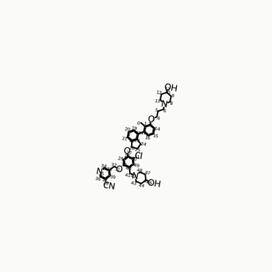 Cc1c(OCCCN2CCC(O)CC2)cccc1-c1cccc2c1CC[C@@H]2Oc1cc(OCc2cncc(C#N)c2)c(CN2CCC(O)CC2)cc1Cl